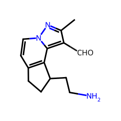 Cc1nn2ccc3c(c2c1C=O)C(CCN)CC3